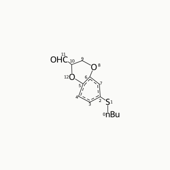 CCCCSc1ccc2c(c1)OCC(C=O)O2